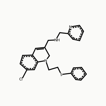 Clc1ccc2c(c1)N(CCSc1ccccc1)CC(CNCc1ccccn1)=C2